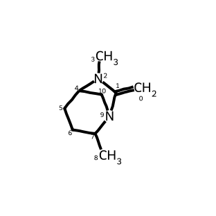 C=C1N(C)C2CCC(C)N1C2